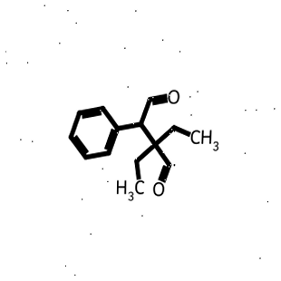 CCC([C]=O)(CC)C(C=O)c1ccccc1